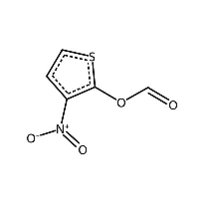 O=COc1sccc1[N+](=O)[O-]